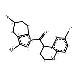 Nc1nn(C(=O)C2CCNc3ccc(F)cc32)c2c1CC(F)CC2